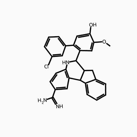 COc1cc(C2Nc3ccc(C(=N)N)cc3C3c4ccccc4CC23)c(-c2cccc(Cl)c2)cc1O